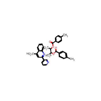 Cc1ccc(C(=O)OC(C(=O)O)C(OC(=O)c2ccc(C)cc2)C(=O)O)cc1.O=C(O)c1cc(-c2cccnc2)nc2ccccc12